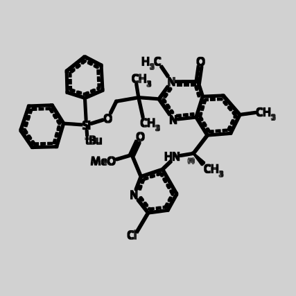 COC(=O)c1nc(Cl)ccc1N[C@H](C)c1cc(C)cc2c(=O)n(C)c(C(C)(C)CO[Si](c3ccccc3)(c3ccccc3)C(C)(C)C)nc12